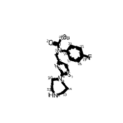 CC(C)(C)C(=O)N(Cc1csc(N2CCNCC2)n1)c1ccc(F)cc1